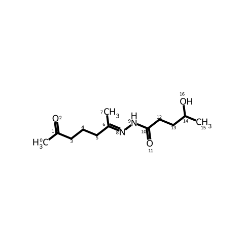 CC(=O)CCC/C(C)=N/NC(=O)CCC(C)O